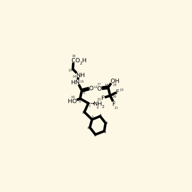 N[C@H](CC1CCCCC1)C(O)C(=O)NNCC(=O)O.O=C(O)C(F)(F)F